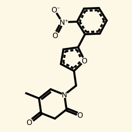 CC1=CN(Cc2ccc(-c3ccccc3[N+](=O)[O-])o2)C(=O)CC1=O